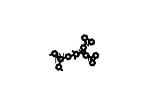 Cc1cccc(-c2cc(-c3ccc(-c4c(C)cc(-n5c6ccc(-n7c8ccccc8c8ccccc87)cc6c6cc(-n7c8ccccc8c8ccccc87)ccc65)cc4C)cc3)nc(-c3cccc(C)c3)n2)c1